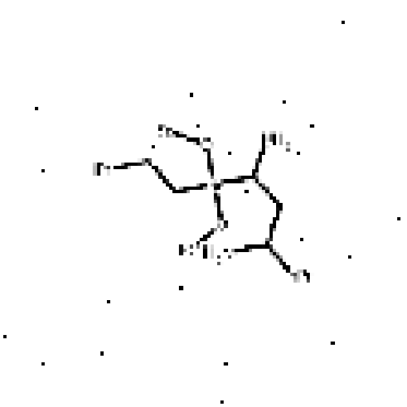 CCCC(N)CC(N)[Si](CCC(C)C)(OCC)OCC